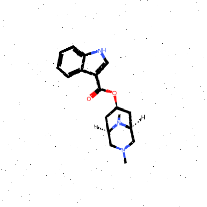 CN1C[C@H]2C[C@@H](OC(=O)c3c[nH]c4ccccc34)C[C@@H](C1)N2C